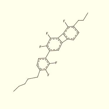 CCCCCc1ccc(-c2cc3c(c(F)c2F)-c2c-3ccc(CCC)c2F)c(F)c1F